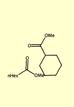 CCCCCCC(=O)OC.COC(=O)C1CCCCC1